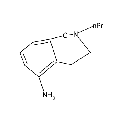 CCCN1CCc2c(N)cccc2C1